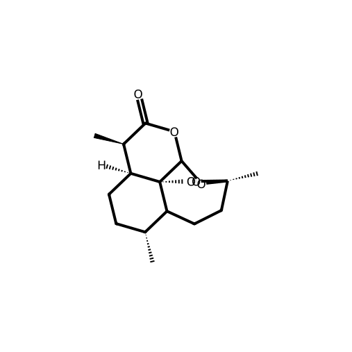 C[C@@H]1CC[C@H]2[C@@H](C)C(=O)OC3O[C@]4(C)CCC1[C@]32OO4